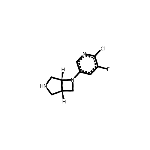 Fc1cc(N2C[C@@H]3CNC[C@@H]32)cnc1Cl